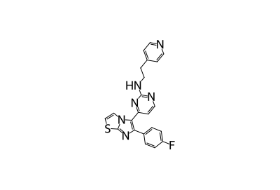 Fc1ccc(-c2nc3sccn3c2-c2ccnc(NCCc3ccncc3)n2)cc1